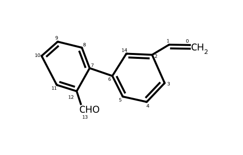 C=Cc1cccc(-c2ccccc2C=O)c1